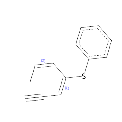 C#C/C=C(\C=C/C)Sc1ccccc1